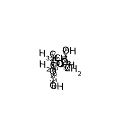 C=CC(=O)OCCCO.C=COCCCCO.CC(C)=CC(=O)O